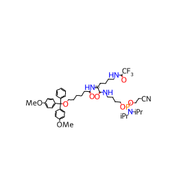 COc1ccc(C(OCCCCCC(=O)N[C@@H](CCCCNC(=O)C(F)(F)F)C(=O)NCCCCOP(OCCC#N)N(C(C)C)C(C)C)(c2ccccc2)c2ccc(OC)cc2)cc1